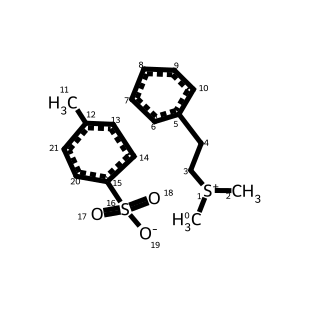 C[S+](C)CCc1ccccc1.Cc1ccc(S(=O)(=O)[O-])cc1